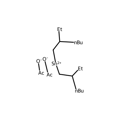 CC(=O)[O-].CC(=O)[O-].CCCCC(CC)[CH2][Sn+2][CH2]C(CC)CCCC